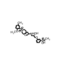 CNS(=O)(=O)c1cccc(OC[C@@H](O)CNC2COC3(CCN(S(=O)(=O)c4cc(C)ccc4OC)CC3)C2)c1